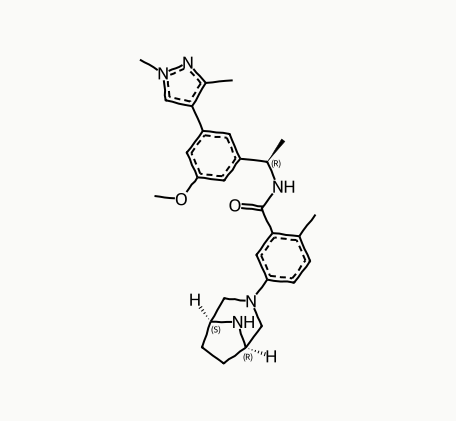 COc1cc(-c2cn(C)nc2C)cc([C@@H](C)NC(=O)c2cc(N3C[C@H]4CC[C@@H](C3)N4)ccc2C)c1